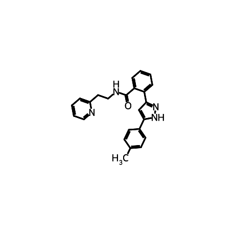 Cc1ccc(-c2cc(-c3ccccc3C(=O)NCCc3ccccn3)n[nH]2)cc1